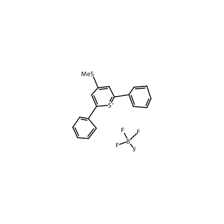 CSc1cc(-c2ccccc2)[s+]c(-c2ccccc2)c1.F[B-](F)(F)F